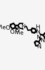 COc1ccc2c3c(oc2c1OC)CN(CCc1ccc(Nc2nc(-c4cccnc4)nc4ccccc24)cc1)CC3